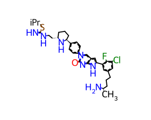 CC(C)SC(=N)NCC[C@@H]1CCC[C@@H](c2ccc(-n3cc4cc(-c5cc(CCC[C@H](C)N)cc(Cl)c5F)[nH]c4nc3=O)cc2)N1